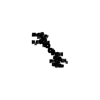 COC(=O)N[C@H](C(=O)N1C[C@@H](C)CC1c1nc2cc(-c3ccc4nc(-c5c[nH]c([C@@H]6C[C@H](C)CN6C(=O)[C@@H](NC(=O)OC)C(C)C)n5)cn4c3)ccc2[nH]1)C(C)C